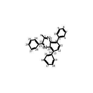 Cc1nc2c(-c3ccccc3)ccc(-c3ccccc3)c2nc1-c1ccccc1